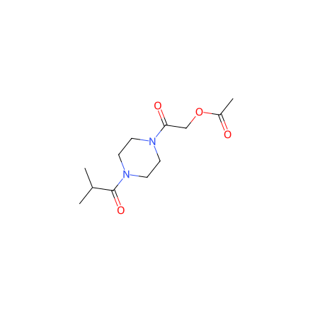 CC(=O)OCC(=O)N1CCN(C(=O)C(C)C)CC1